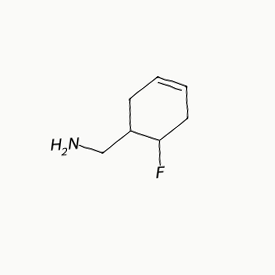 NCC1CC=CCC1F